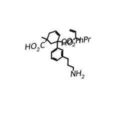 C=CC(O)CCC.CC1(C(=O)O)CC=CC(C(=O)O)(c2cccc(CCCN)c2)C1